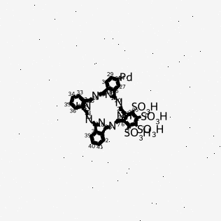 O=S(=O)(O)c1c(S(=O)(=O)O)c(S(=O)(=O)O)c2c3nc4nc(nc5[nH]c(nc6nc(nc([nH]3)c2c1S(=O)(=O)O)-c1ccccc1-6)c1ccccc51)-c1ccccc1-4.[Pd]